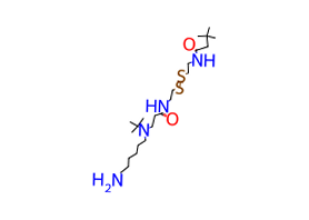 CC(C)(C)CC(=O)NCCSSCCNC(=O)CCN(CCCCCCN)C(C)(C)C